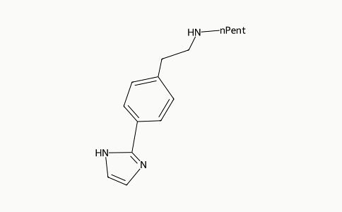 CCCCCNCCc1ccc(-c2ncc[nH]2)cc1